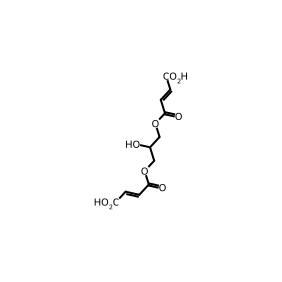 O=C(O)C=CC(=O)OCC(O)COC(=O)C=CC(=O)O